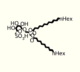 CCCCCC/C=C/C=C/CCCCCCCC(=O)O[C@H](COC(=O)CCCCCCC/C=C/CCCCCC)CO[C@H]1O[C@H](CS(=O)(=O)O)[C@@H](O)C(O)C1O